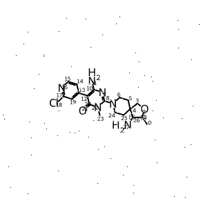 C[C@@H]1OCC2(CCN(c3nc(N)c(-c4ccnc(Cl)c4)c(=O)n3C)CC2)[C@@H]1N